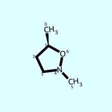 C[C@@H]1CCN(C)O1